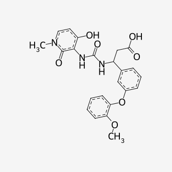 COc1ccccc1Oc1cccc(C(CC(=O)O)NC(=O)Nc2c(O)ccn(C)c2=O)c1